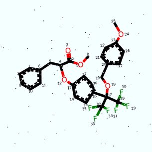 COC(=O)C(Cc1ccccc1)Oc1ccc(C(OCc2ccc(OC)cc2)(C(F)(F)F)C(F)(F)F)cc1